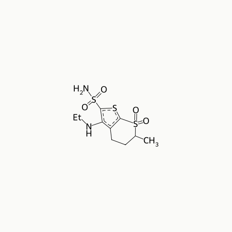 CCNc1c(S(N)(=O)=O)sc2c1CCC(C)S2(=O)=O